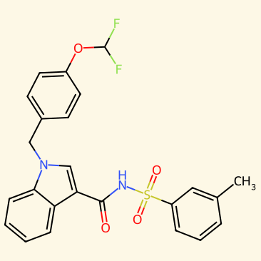 Cc1cccc(S(=O)(=O)NC(=O)c2cn(Cc3ccc(OC(F)F)cc3)c3ccccc23)c1